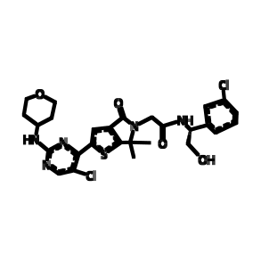 CC1(C)c2sc(-c3nc(NC4CCOCC4)ncc3Cl)cc2C(=O)N1CC(=O)N[C@H](CO)c1cccc(Cl)c1